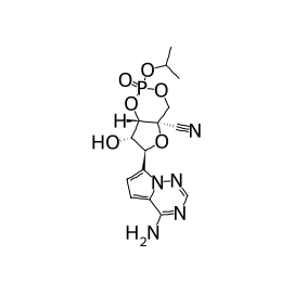 CC(C)OP1(=O)OC[C@@]2(C#N)O[C@@H](c3ccc4c(N)ncnn34)[C@H](O)[C@@H]2O1